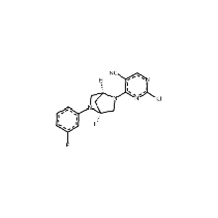 N#Cc1cnc(Cl)nc1N1C[C@@H]2C[C@H]1CN2c1cccc(F)c1